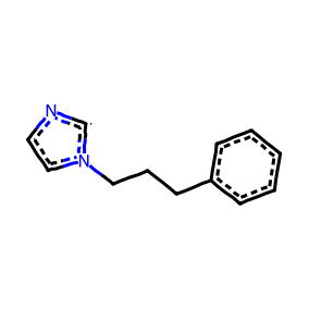 [c]1nccn1CCCc1ccccc1